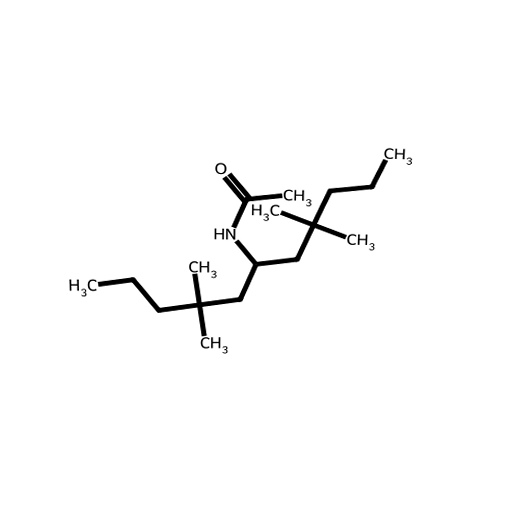 CCCC(C)(C)CC(CC(C)(C)CCC)NC(C)=O